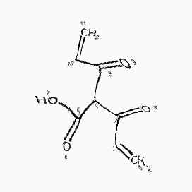 C=CC(=O)C(C(=O)O)C(=O)C=C